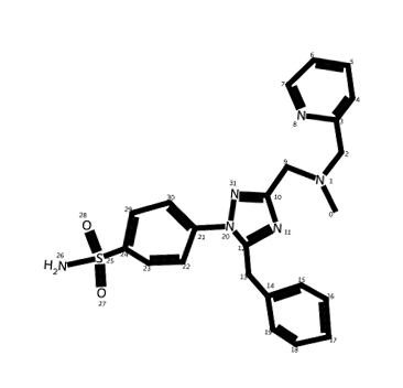 CN(Cc1ccccn1)Cc1nc(Cc2ccccc2)n(-c2ccc(S(N)(=O)=O)cc2)n1